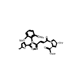 COC(=O)[C@@H]1C[C@@H](O)CN1C(=O)/C=C/c1nnc(-c2ccc(C)o2)n1-c1c(OC)cccc1OC